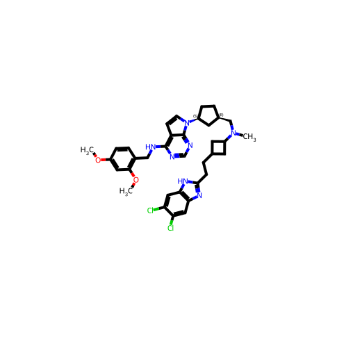 COc1ccc(CNc2ncnc3c2ccn3[C@H]2CC[C@@H](CN(C)C3CC(CCc4nc5cc(Cl)c(Cl)cc5[nH]4)C3)C2)c(OC)c1